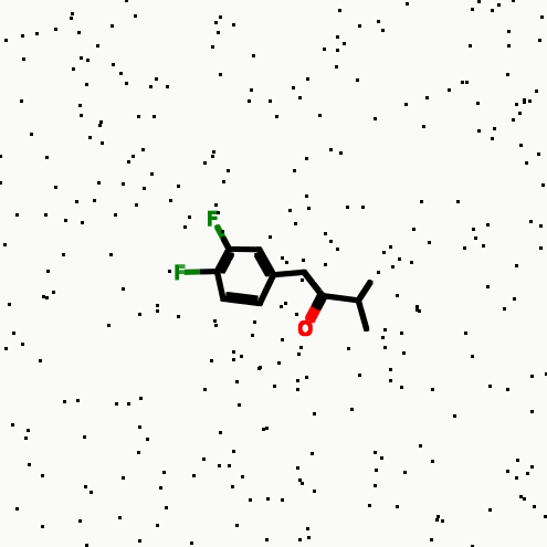 CC(C)C(=O)Cc1ccc(F)c(F)c1